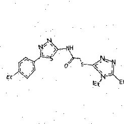 CCc1ccc(-c2nnc(NC(=O)CSc3nnc(CC)n3CC)s2)cc1